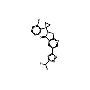 O=C1c2cc(-c3nnc(C(F)F)o3)cnc2CN1C1(c2ccccc2F)CC1